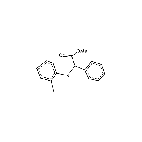 COC(=O)C(Sc1ccccc1C)c1ccccc1